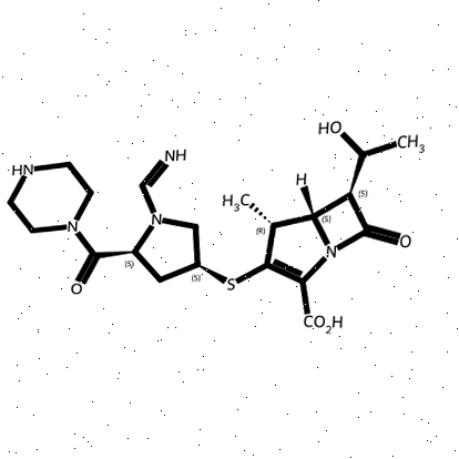 CC(O)[C@H]1C(=O)N2C(C(=O)O)=C(S[C@H]3C[C@@H](C(=O)N4CCNCC4)N(C=N)C3)[C@H](C)[C@H]12